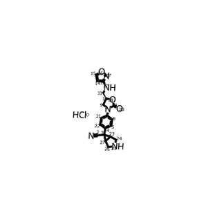 Cl.N#CC1(c2ccc(N3C[C@@H](CNc4ccon4)OC3=O)cc2)C2CNCC21